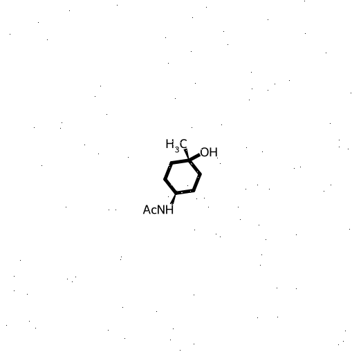 CC(=O)N[C@H]1CC[C@](C)(O)CC1